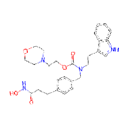 O=C(CCc1ccc(CN(CCc2c[nH]c3ccccc23)C(=O)OCCN2CCOCC2)cc1)NO